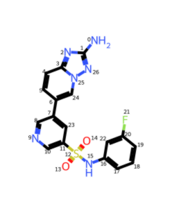 Nc1nc2ccc(-c3cncc(S(=O)(=O)Nc4cccc(F)c4)c3)cn2n1